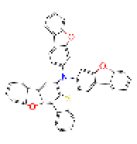 c1ccc2c(c1)oc1cc(N(c3ccc4c(c3)oc3ccccc34)c3cc4c5ccccc5oc4c4c3sc3ccccc34)ccc12